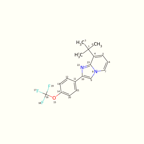 CC(C)(C)c1cccn2cc(-c3ccc(OC(F)(F)F)cc3)nc12